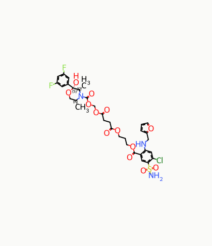 C[C@@H]1CO[C@@](O)(c2cc(F)cc(F)c2)[C@H](C)N1C(=O)OCOC(=O)CCC(=O)OCCCOC(=O)c1cc(S(N)(=O)=O)c(Cl)cc1NCc1ccco1